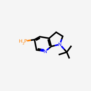 CC(C)(C)N1CCc2cc(P)cnc21